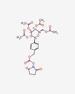 CC(=O)OC[C@H]1O[C@@H](c2ccc(COC(=O)ON3C(=O)CCC3=O)cc2)[C@H](OC(C)=O)[C@@H](OC(C)=O)[C@@H]1OC(C)=O